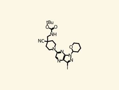 CC(C)(C)OC(=O)NCC1(C#N)CCN(c2cnc3c(I)nn(C4CCCCO4)c3n2)CC1